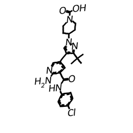 CC(C)(C)c1nn(C2CCN(C(=O)O)CC2)cc1-c1cnc(N)c(C(=O)Nc2ccc(Cl)cc2)c1